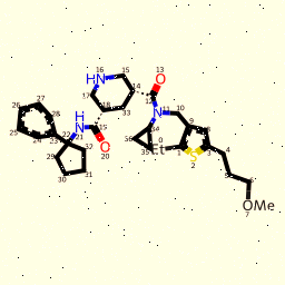 CCc1sc(CCCOC)cc1CN(C(=O)[C@H]1CNC[C@@H](C(=O)NC2(c3ccccc3)CCCC2)C1)C1CC1